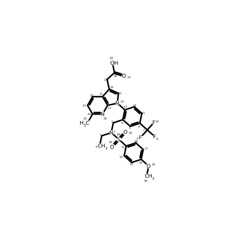 CCN(Cc1cc(C(F)(F)F)ccc1-n1cc(CC(=O)O)c2ccc(C)nc21)S(=O)(=O)c1ccc(OC)cc1